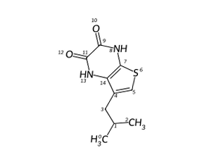 CC(C)Cc1csc2[nH]c(=O)c(=O)[nH]c12